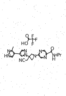 Cc1n[nH]cc1-c1cnn(C2(CC#N)CN(c3cnc(C(=O)NC(C)C)cn3)C2)c1.O=C(O)C(F)(F)F